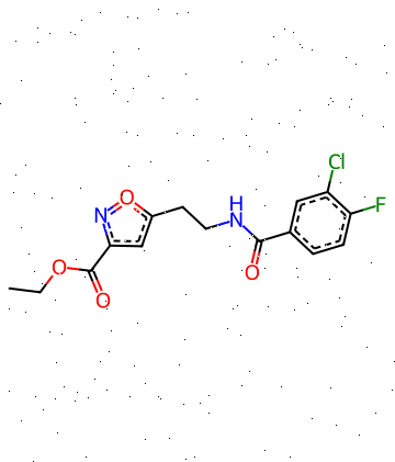 CCOC(=O)c1cc(CCNC(=O)c2ccc(F)c(Cl)c2)on1